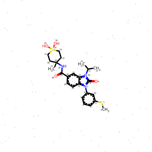 CSc1cccc(-n2c(=O)n(C(C)C)c3cc(C(=O)NC4(C)CCS(O)(O)CC4)ccc32)c1